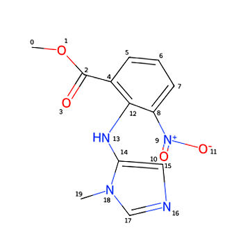 COC(=O)c1cccc([N+](=O)[O-])c1Nc1cncn1C